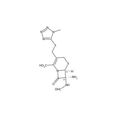 Cn1nnnc1SCC1=C(C(=O)O)N2C(=O)[C@](N)(NC=O)[C@@H]2SC1